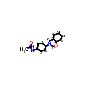 CC(=O)NC1CCC(N2COC3CCCCC3C2)CC1